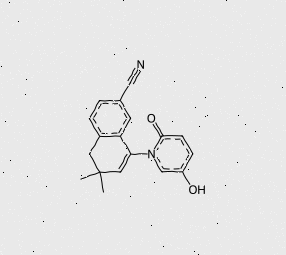 CC1(C)C=C(n2cc(O)ccc2=O)c2cc(C#N)ccc2C1